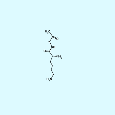 CC(=O)[CH]NC(=O)[C@@H](N)CCCCN